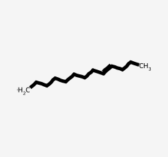 [CH2]CCCCCC[CH]C=CCCC